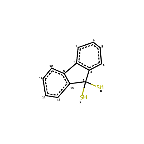 SC1(S)c2ccccc2-c2ccccc21